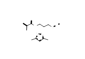 C=C(C)C(=O)OCCCN=C=O.Cc1cc(C)[nH]n1